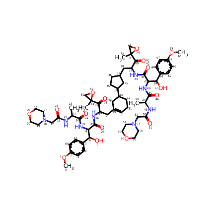 COc1ccc(C(O)C(NC(=O)C(C)NC(=O)CN2CCOCC2)C(=O)NC(CC2=CCCC(C3CCC(CC(NC(=O)C(NC(=O)C(C)NC(=O)CN4CCOCC4)C(O)c4ccc(OC)cc4)C(=O)C4(C)CO4)C3)C2)C(=O)C2(C)CO2)cc1